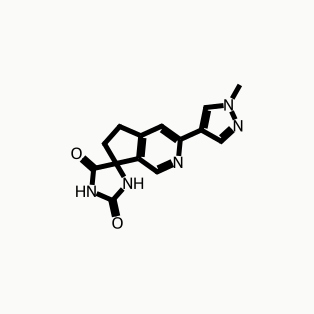 Cn1cc(-c2cc3c(cn2)C2(CC3)NC(=O)NC2=O)cn1